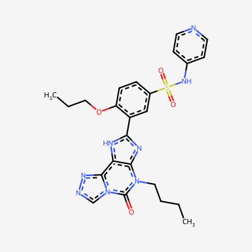 CCCCn1c(=O)n2cnnc2c2[nH]c(-c3cc(S(=O)(=O)Nc4ccncc4)ccc3OCCC)nc21